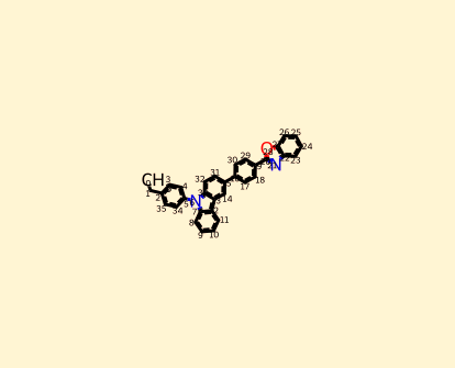 CCc1ccc(-n2c3ccccc3c3cc(-c4ccc(-c5nc6ccccc6o5)cc4)ccc32)cc1